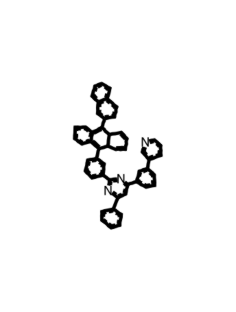 C1=CC2C(c3cccc(-c4nc(-c5ccccc5)cc(-c5cccc(-c6cccnc6)c5)n4)c3)=c3ccccc3=C(c3ccc4ccccc4c3)C2C=C1